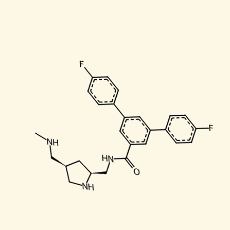 CNC[C@@H]1CN[C@H](CNC(=O)c2cc(-c3ccc(F)cc3)cc(-c3ccc(F)cc3)c2)C1